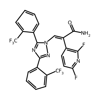 NC(=O)C(=Cn1nc(-c2ccccc2C(F)(F)F)nc1-c1ccccc1C(F)(F)F)c1ccc(F)nc1F